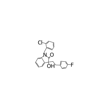 O=C1N(Cc2ccccc2Cl)c2ccccc2C1(O)CCc1ccc(F)cc1